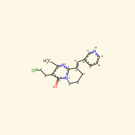 Cc1nc2n(c(=O)c1CCCl)CCCC2=Cc1cccnc1